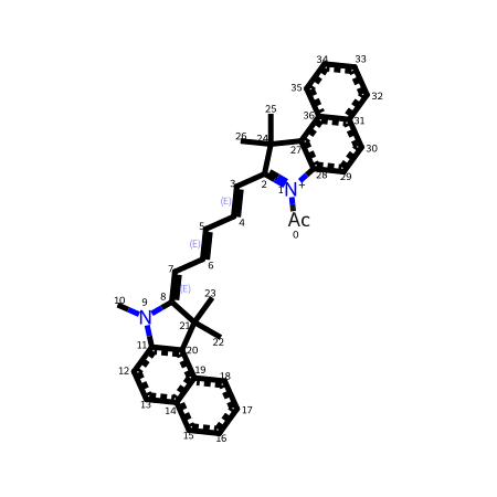 CC(=O)[N+]1=C(/C=C/C=C/C=C2/N(C)c3ccc4ccccc4c3C2(C)C)C(C)(C)c2c1ccc1ccccc21